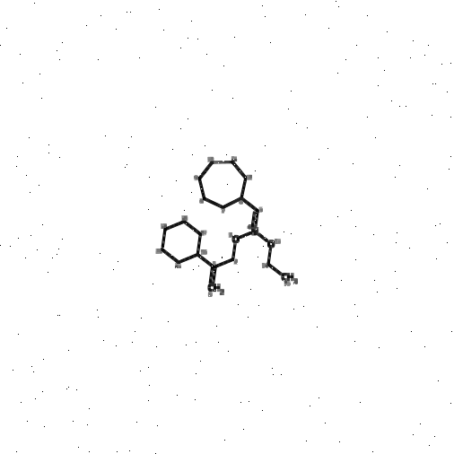 C=C(CO[Si](=CC1CCCCCC1)OCC)C1CCCCC1